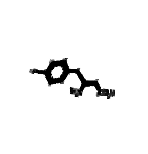 NC(=CC(=O)O)Cc1ccc(F)cc1